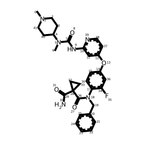 CN1CCC(N(C)C(=O)Nc2cc(Oc3ccc(N(Cc4ccccc4)C(=O)C4(C(N)=O)CC4)c(F)c3)ccn2)CC1